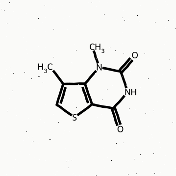 Cc1csc2c(=O)[nH]c(=O)n(C)c12